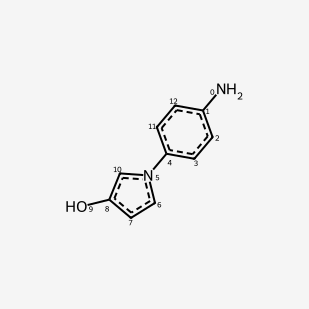 Nc1ccc(-n2ccc(O)c2)cc1